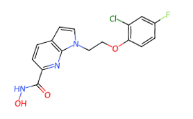 O=C(NO)c1ccc2ccn(CCOc3ccc(F)cc3Cl)c2n1